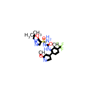 COc1cc(-c2ccc(C(F)(F)F)c(C)c2NC(=O)N=[S@](N)(=O)c2cnn3c2OC(C)(C)C3)ccn1